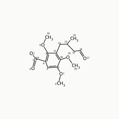 COc1cc([N+](=O)[O-])c(OC)c(CC(C)CC=O)c1OC